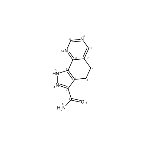 NC(=O)c1n[nH]c2c1CCc1cncnc1-2